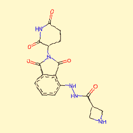 O=C1CCC(N2C(=O)c3cccc(NNC(=O)C4CNC4)c3C2=O)C(=O)N1